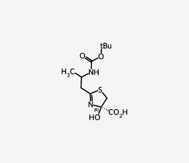 CC(CC1=N[C@@](O)(C(=O)O)CS1)NC(=O)OC(C)(C)C